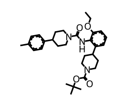 CCOc1cccc(C2CCN(C(=O)OC(C)(C)C)CC2)c1NC(=O)N1CCC(c2ccc(C)cc2)CC1